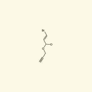 C#CCOC([O])C=CBr